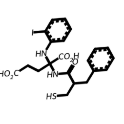 O=C(O)CCC(NC(=O)C(CS)Cc1ccccc1)(Nc1ccccc1I)C(=O)O